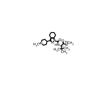 CNC(=O)[C@@H](NC(=O)n1nc(C2CCN(C)CC2)c2c1CCCC2)C(C)(C)C